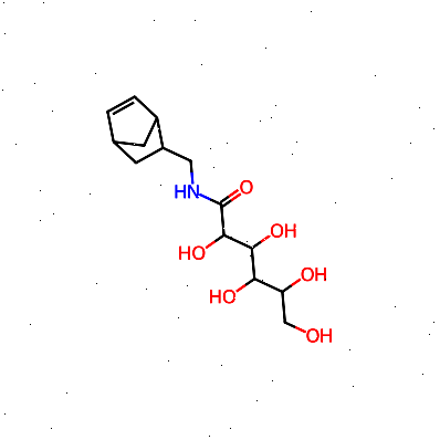 O=C(NCC1CC2C=CC1C2)C(O)C(O)C(O)C(O)CO